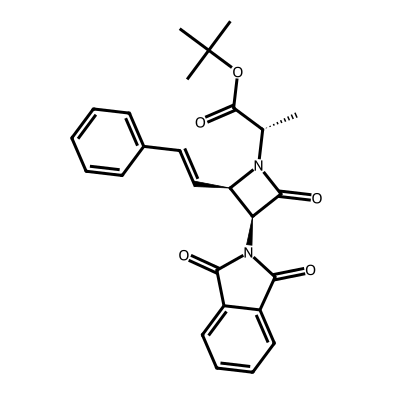 C[C@@H](C(=O)OC(C)(C)C)N1C(=O)[C@@H](N2C(=O)c3ccccc3C2=O)[C@H]1C=Cc1ccccc1